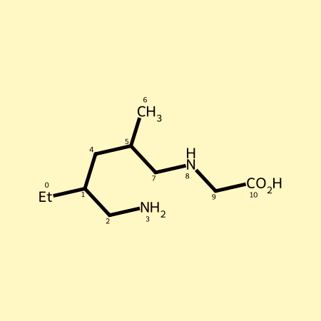 CCC(CN)CC(C)CNCC(=O)O